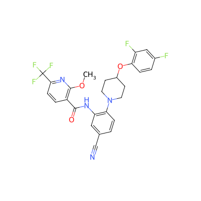 COc1nc(C(F)(F)F)ccc1C(=O)Nc1cc(C#N)ccc1N1CCC(Oc2ccc(F)cc2F)CC1